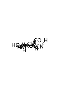 Cc1c(COc2cc(OCc3cncc(C#N)c3)c(CN3CCC(C(=O)O)C3)cc2Cl)cccc1-c1cccc(Nc2nccc3cc(CN4CCC(O)C4)cnc23)c1C